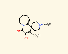 CCOC(=O)C1=C(O)C(=O)N2CCCCC=C2C12CCN(C(=O)O)CC2